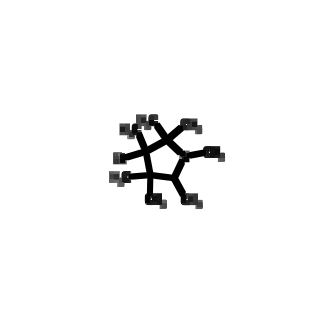 CCC1(C)C(C)(C)C(C)N(C)C1(C)C